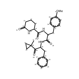 COc1ccc(CC(NC(=O)C2CCCC(=O)N2)C(=O)NC(Cc2ccccc2)C(=O)C2(C)CC2)cc1